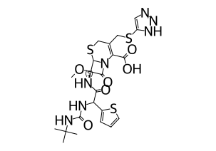 CO[C@@]1(NC(=O)C(NC(=O)NC(C)(C)C)c2cccs2)C(=O)N2C(C(=O)O)=C(CSc3cnn[nH]3)CSC21